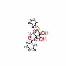 OC1C(O)[C@@H](Sc2ccccc2)OC2COC(c3ccccc3)O[C@H]21